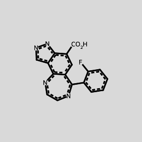 O=C(O)c1cc2c(-c3ccccc3F)nccnc2c2cnnc12